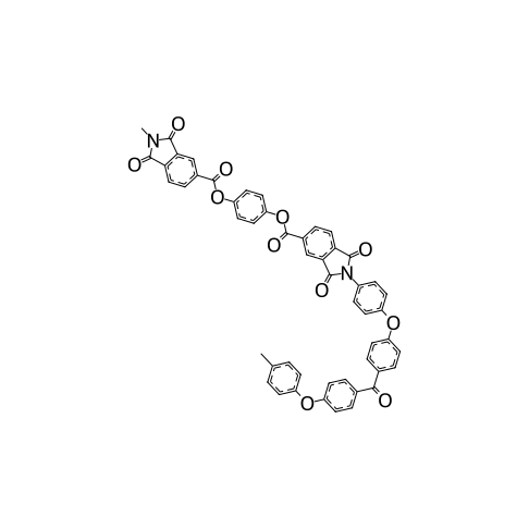 Cc1ccc(Oc2ccc(C(=O)c3ccc(Oc4ccc(N5C(=O)c6ccc(C(=O)Oc7ccc(OC(=O)c8ccc9c(c8)C(=O)N(C)C9=O)cc7)cc6C5=O)cc4)cc3)cc2)cc1